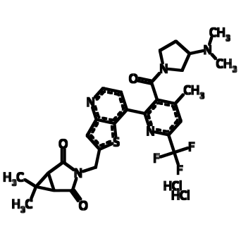 Cc1cc(C(F)(F)F)nc(-c2ccnc3cc(CN4C(=O)C5C(C4=O)C5(C)C)sc23)c1C(=O)N1CCC(N(C)C)C1.Cl.Cl